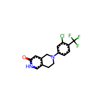 O=c1cc2c(c[nH]1)CCN(c1ccc(C(F)(F)F)c(Cl)c1)C2